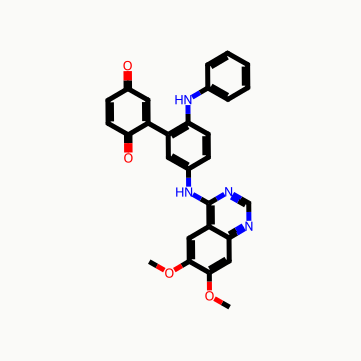 COc1cc2ncnc(Nc3ccc(Nc4ccccc4)c(C4=CC(=O)C=CC4=O)c3)c2cc1OC